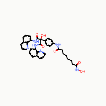 O=C(CCCCCCC(=O)Nc1ccc(C(O)(C(=O)Nc2cccc3cccnc23)C(=O)Nc2cccc3cccnc23)cc1)NO